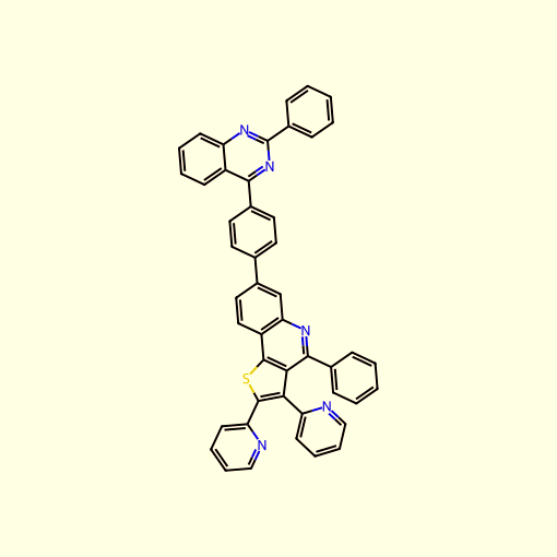 c1ccc(-c2nc(-c3ccc(-c4ccc5c(c4)nc(-c4ccccc4)c4c(-c6ccccn6)c(-c6ccccn6)sc45)cc3)c3ccccc3n2)cc1